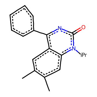 Cc1cc2c(-c3ccccc3)nc(=O)n(C(C)C)c2cc1C